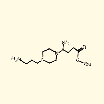 CC(C)(C)OC(=O)CCC(N)N1CCN(CCCN)CC1